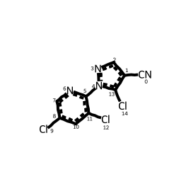 N#Cc1cnn(-c2ncc(Cl)cc2Cl)c1Cl